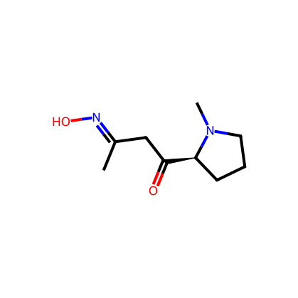 C/C(CC(=O)[C@@H]1CCCN1C)=N\O